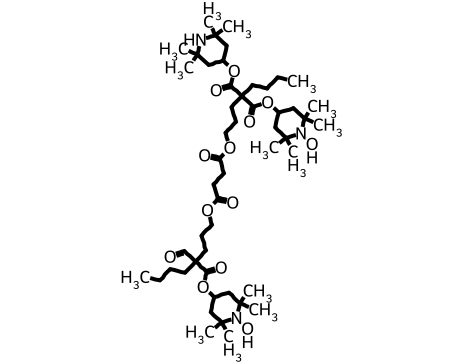 CCCCC(C=O)(CCCOC(=O)CCC(=O)OCCCC(CCCC)(C(=O)OC1CC(C)(C)NC(C)(C)C1)C(=O)OC1CC(C)(C)N(O)C(C)(C)C1)C(=O)OC1CC(C)(C)N(O)C(C)(C)C1